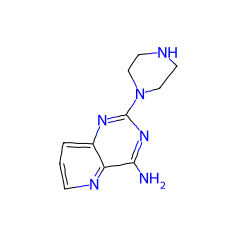 Nc1nc(N2CCNCC2)nc2cccnc12